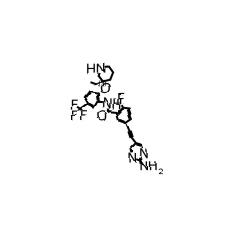 CC[C@]1(Oc2ccc(C(F)(F)F)cc2NC(=O)c2cc(C#Cc3cnc(N)nc3)ccc2F)CCCNC1